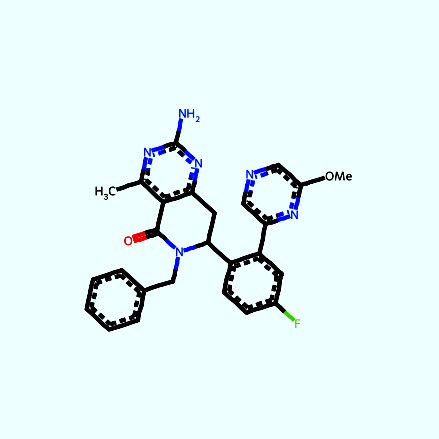 COc1cncc(-c2cc(F)ccc2C2Cc3nc(N)nc(C)c3C(=O)N2Cc2ccccc2)n1